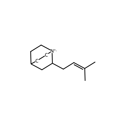 CC(C)=CCC1CC2CC[N+]1CC2